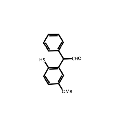 COc1ccc(S)c(C(C=O)c2ccccc2)c1